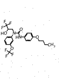 CCCCOc1ccc(NC(=O)N(CC(O)C(F)(F)F)c2cccc(OC(F)(F)F)c2)cc1